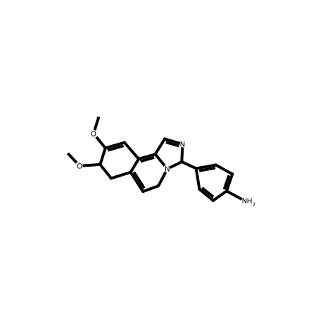 COC1=CC2=C3C=NC(c4ccc(N)cc4)N3CC=C2CC1OC